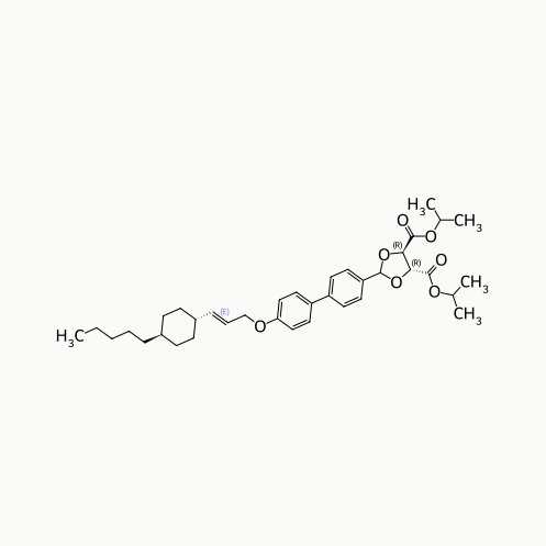 CCCCC[C@H]1CC[C@H](/C=C/COc2ccc(-c3ccc(C4O[C@@H](C(=O)OC(C)C)[C@H](C(=O)OC(C)C)O4)cc3)cc2)CC1